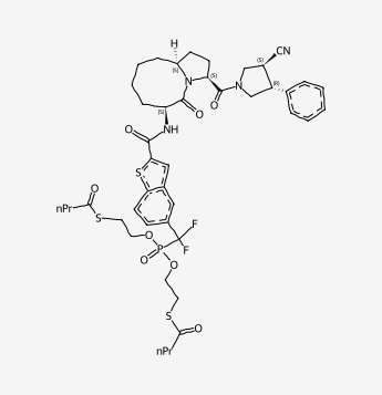 CCCC(=O)SCCOP(=O)(OCCSC(=O)CCC)C(F)(F)c1ccc2sc(C(=O)N[C@H]3CCCC[C@H]4CC[C@@H](C(=O)N5C[C@@H](C#N)[C@H](c6ccccc6)C5)N4C3=O)cc2c1